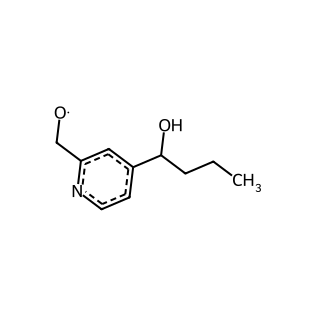 CCCC(O)c1ccnc(C[O])c1